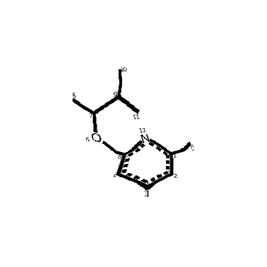 Cc1cccc(OC(C)C(C)C)n1